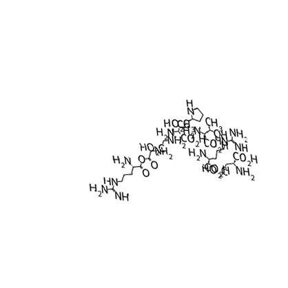 C[C@@H](O)[C@H](N)C(=O)O.C[C@H](N)C(=O)O.N=C(N)NCCC[C@H](N)C(=O)O.N=C(N)NCCC[C@H](N)C(=O)OC(=O)CN.NCC(=O)O.N[C@@H](CC(=O)O)C(=O)O.O=C(O)[C@@H]1CCCN1